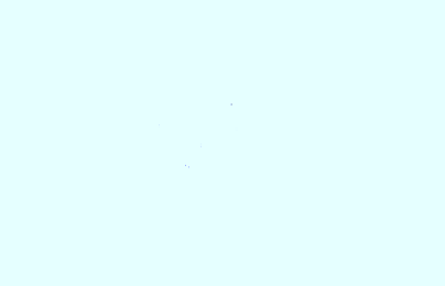 CC(O[Si](c1ccccc1)(c1ccccc1)C(C)(C)C)C(=O)Nc1scc(Cl)c1C(=O)O